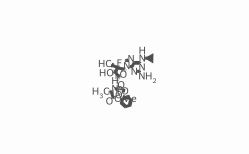 C#C[C@@]1(F)[C@H](O)[C@@H](COP(=O)(N[C@H](C)C(=O)OC)Oc2ccccc2)O[C@H]1n1cnc2c(NC3CC3)nc(N)nc21